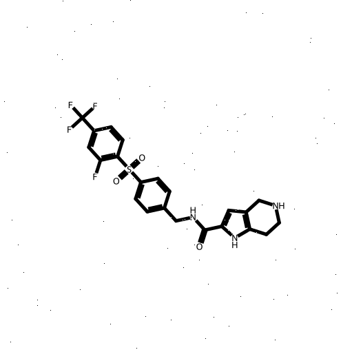 O=C(NCc1ccc(S(=O)(=O)c2ccc(C(F)(F)F)cc2F)cc1)c1cc2c([nH]1)CCNC2